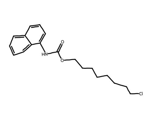 O=C(Nc1cccc2ccccc12)OCCCCCCCCCl